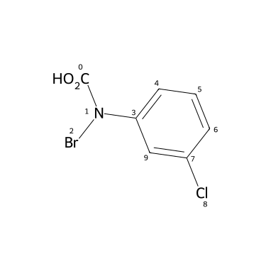 O=C(O)N(Br)c1cccc(Cl)c1